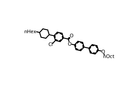 CCCCCCCCOc1ccc(-c2ccc(OC(=O)c3ccc(C4CCC(CCCCCC)CC4)c(Cl)c3)cc2)cc1